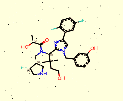 C[C@H](O)C(=O)N(C[C@@H]1CNC[C@@H]1F)[C@@H](c1nc(-c2cc(F)ccc2F)cn1Cc1cccc(O)c1)C(C)(C)CCO